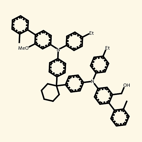 CCc1ccc(N(c2ccc(C3(c4ccc(N(c5ccc(CC)cc5)c5ccc(-c6ccccc6C)c(OC)c5)cc4)CCCCC3)cc2)c2ccc(-c3ccccc3C)c(CO)c2)cc1